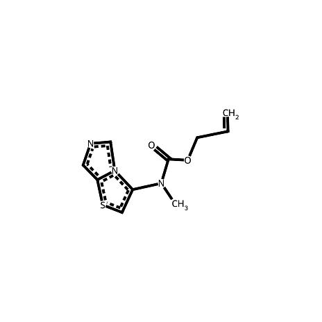 C=CCOC(=O)N(C)c1csc2cncn12